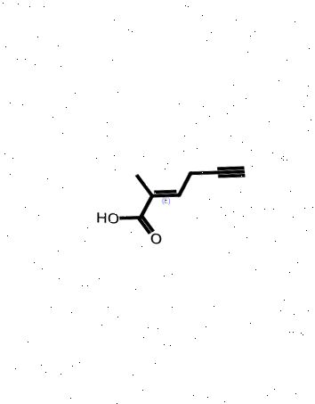 C#CC/C=C(\C)C(=O)O